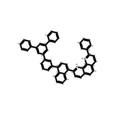 c1ccc(-c2cc(-c3ccccc3)cc(-c3cccc(-c4ccc(-c5ccc6ccc7ccc(-c8ccccc8)nc7c6n5)c5ccccc45)c3)c2)cc1